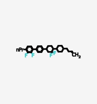 C=CCCC1CCC(C2CCC(c3ccc(-c4ccc(CCC)c(F)c4F)cc3)CC2(F)F)CC1